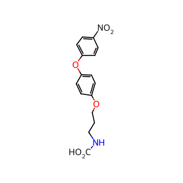 O=C(O)NCCCOc1ccc(Oc2ccc([N+](=O)[O-])cc2)cc1